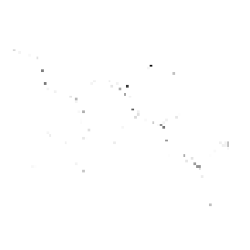 CCCc1cc(CC)c(C(=O)N=C(N)N)cc1S(C)(=O)=O